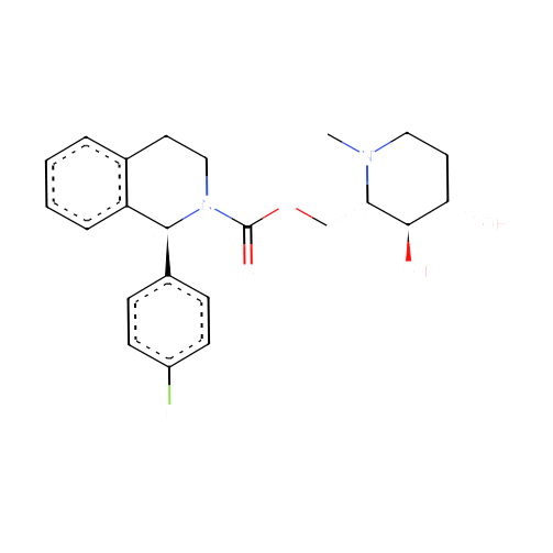 CN1CC[C@H](O)[C@@H](O)[C@@H]1COC(=O)N1CCc2ccccc2[C@@H]1c1ccc(F)cc1